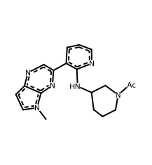 CC(=O)N1CCCC(Nc2ncccc2-c2cnc3ccn(C)c3n2)C1